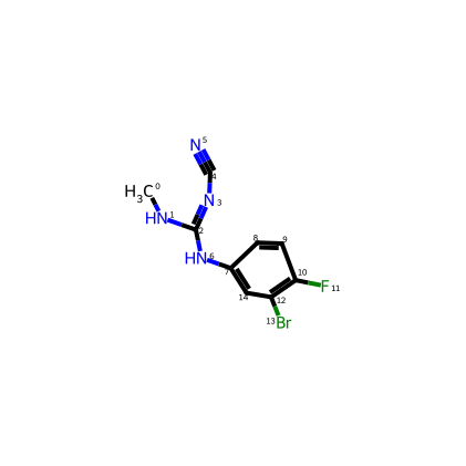 CNC(=NC#N)Nc1ccc(F)c(Br)c1